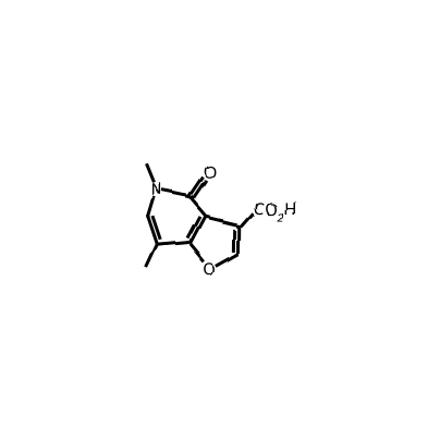 Cc1cn(C)c(=O)c2c(C(=O)O)coc12